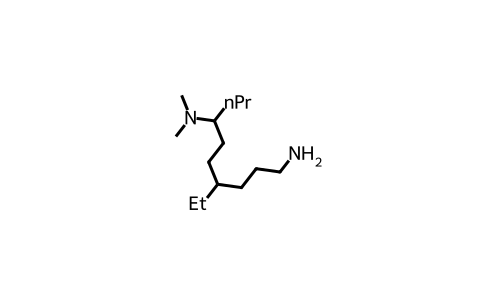 [CH2]CC(CCCN)CCC(CCC)N(C)C